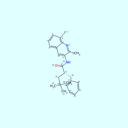 Cc1nc2c(F)cccc2cc1NC(=O)[C@H](Cc1ccccc1)CC(C)(C)C